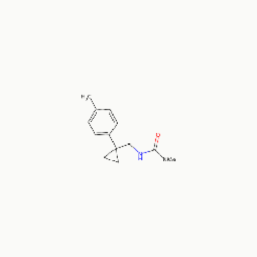 CNC(=O)NCC1(c2ccc(C)cc2)CC1